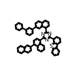 c1ccc(-c2cccc(-c3ccc4cccc(-c5nc(-c6ccc(-c7ccc8ccccc8c7)c7ccccc67)nc(-c6cccc7c6sc6ccccc67)n5)c4c3)c2)cc1